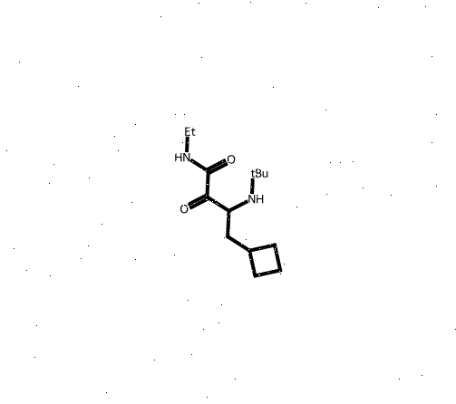 CCNC(=O)C(=O)C(CC1CCC1)NC(C)(C)C